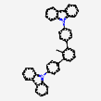 Cc1c(-c2ccc(-n3c4ccccc4c4ccccc43)cc2)cccc1-c1ccc(-n2c3ccccc3c3ccccc32)cc1